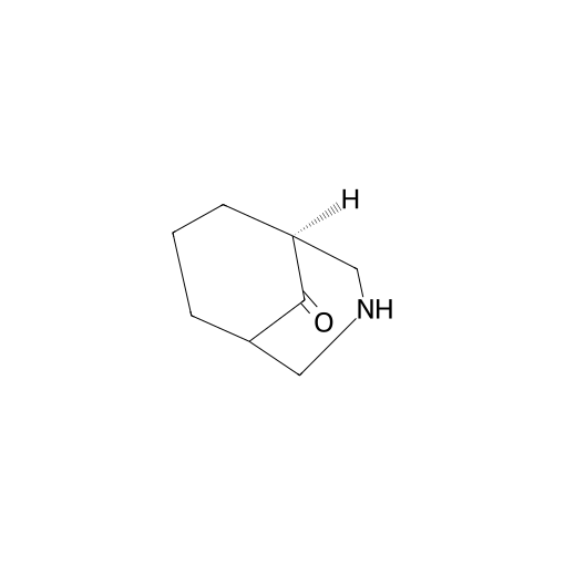 O=C1C2CCC[C@H]1CNC2